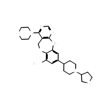 Cc1cc(C2CCN(C3CCNC3)CC2)cc2c1OCc1c(ncnc1N1CCOCC1)N2